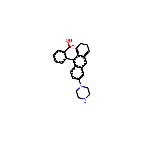 O=C(O)c1ccccc1-c1c2c(cc3cc(N4CCNCC4)ccc13)=CCCC=2